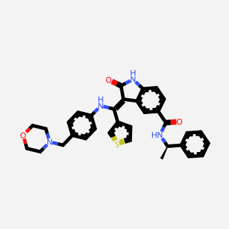 C[C@@H](NC(=O)c1ccc2c(c1)/C(=C(/Nc1ccc(CN3CCOCC3)cc1)c1ccsc1)C(=O)N2)c1ccccc1